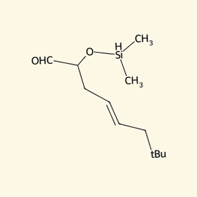 C[SiH](C)OC(C=O)CC=CCC(C)(C)C